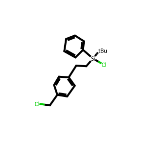 CC(C)(C)[Si](Cl)(CCc1ccc(CCl)cc1)c1ccccc1